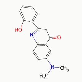 CN(C)c1ccc2c(c1)C(=O)CC(c1ccccc1O)=N2